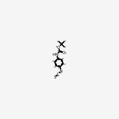 CC(C)(C)OC(=O)Nc1ccc(N=C=S)cc1